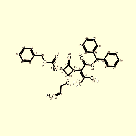 C=CCO[C@@H]1[C@H](NC(=O)OCc2ccccc2)C(=O)N1C(C(=O)OC(c1ccccc1)c1ccccc1)=C(C)C